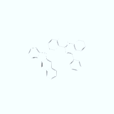 ClC1=C(c2nc3c(c(-c4ccccc4)n2)C=CCC3)CC(n2c3ccccc3c3cc4ccccc4cc32)C=C1